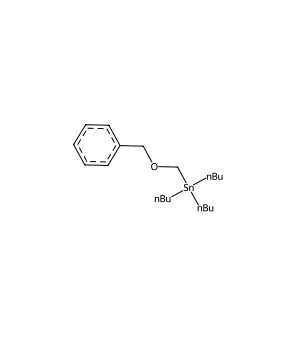 CCC[CH2][Sn]([CH2]CCC)([CH2]CCC)[CH2]OCc1ccccc1